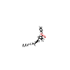 COCC#Cc1ccc(C(=O)OCc2ccccc2)cc1